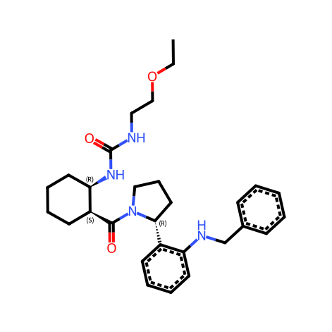 CCOCCNC(=O)N[C@@H]1CCCC[C@@H]1C(=O)N1CCC[C@@H]1c1ccccc1NCc1ccccc1